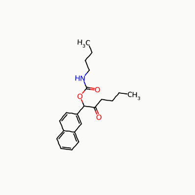 CCCCNC(=O)OC(C(=O)CCCC)c1ccc2ccccc2c1